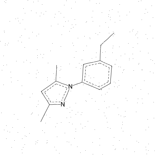 CCc1cc[c]c(-n2nc(C)cc2C)c1